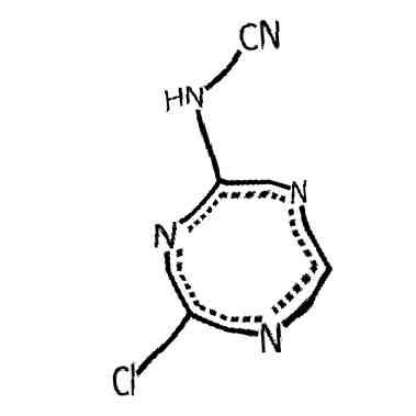 N#CNc1ncnc(Cl)n1